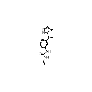 C=CNC(=O)Nc1cccc([C@H](C)c2nncn2C)c1